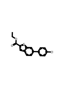 CCOC(=O)c1cc2ccc(-c3ccc(Cl)cc3)cc2s1